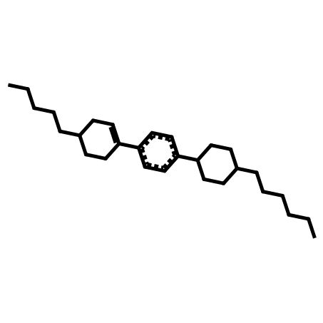 CCCCCCC1CCC(c2ccc(C3=CCC(CCCCC)CC3)cc2)CC1